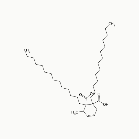 CCCCCCCCCCCCCCC1(C(=O)O)CC=CC(C)C1(CCCCCCCCCCCCCC)C(=O)O